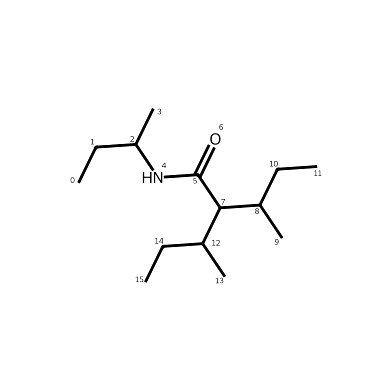 CCC(C)NC(=O)C(C(C)CC)C(C)CC